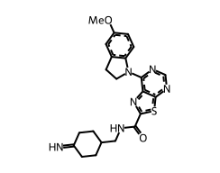 COc1ccc2c(c1)CCN2c1ncnc2sc(C(=O)NCC3CCC(=N)CC3)nc12